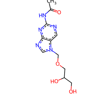 CC(=O)Nc1ncc2c(ncn2COCC(O)CO)n1